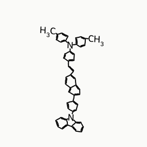 Cc1ccc(N(c2ccc(C)cc2)c2ccc(/C=C/c3ccc4cc(-c5ccc(-n6c7ccccc7c7ccccc76)cc5)ccc4c3)cc2)cc1